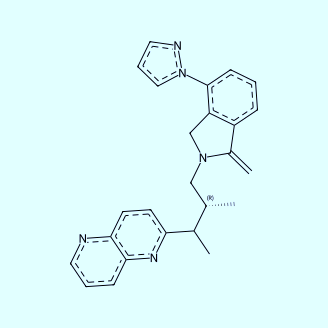 C=C1c2cccc(-n3cccn3)c2CN1C[C@H](C)C(C)c1ccc2ncccc2n1